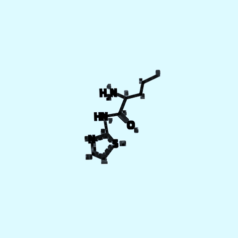 CCCC(N)C(=O)Nc1nccs1